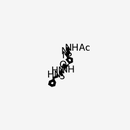 CC(=O)Nc1nnc([C@H]2CC[C@@H](CC(=O)NNC(=S)NCCc3ccccc3)C2)s1